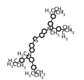 Cc1c(-c2ccc(C(C)(C)C)cc2)c2cc(-c3ccc(C(C)(C)C)cc3)ccc2n1-c1ccc2cc(-c3ccc(-c4ccc5cc(-n6c(C)c(-c7ccc(C(C)(C)C)cc7)c7cc(-c8ccc(C(C)(C)C)cc8)ccc76)ccc5c4)s3)ccc2c1